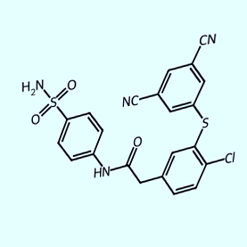 N#Cc1cc(C#N)cc(Sc2cc(CC(=O)Nc3ccc(S(N)(=O)=O)cc3)ccc2Cl)c1